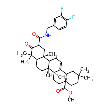 COC(=O)[C@]12CCC(C)(C)CC1C1=CCC3[C@@]4(C)CC(C(=O)NCc5ccc(F)c(F)c5)C(=O)C(C)(C)C4CC[C@@]3(C)[C@]1(C)CC2